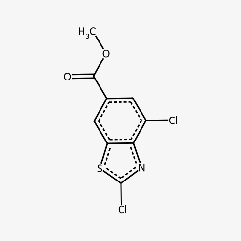 COC(=O)c1cc(Cl)c2nc(Cl)sc2c1